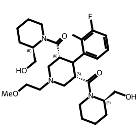 COCCN1C[C@H](C(=O)N2CCCC[C@@H]2CO)C(c2cccc(F)c2C)[C@H](C(=O)N2CCCC[C@@H]2CO)C1